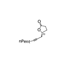 CCCCCC#CC[C@@H]1CCC(=O)O1